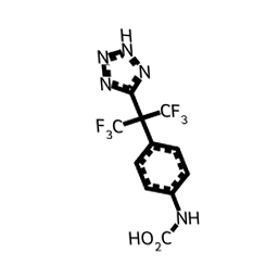 O=C(O)Nc1ccc(C(c2nn[nH]n2)(C(F)(F)F)C(F)(F)F)cc1